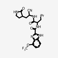 CC(C)CC(NC(=O)c1nc2c(OC(F)(F)F)cccc2[nH]1)C(=O)NC(C#N)CC1CCNC1=O